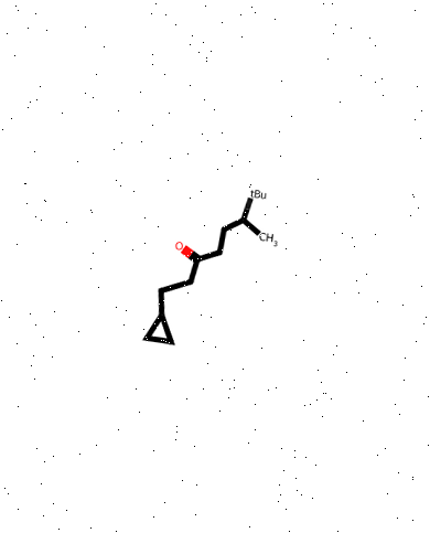 CC(CCC(=O)CCC1CC1)C(C)(C)C